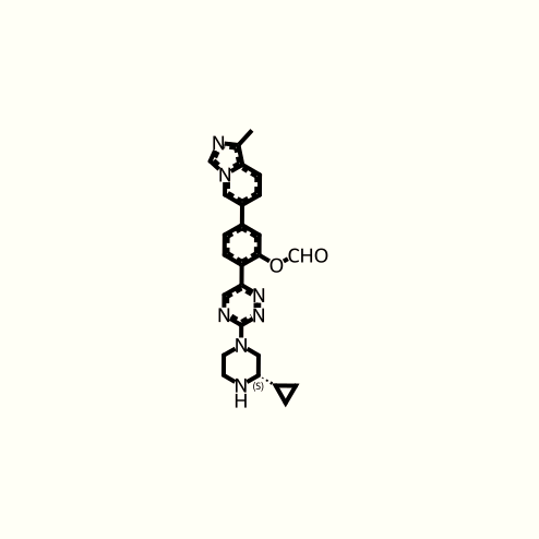 Cc1ncn2cc(-c3ccc(-c4cnc(N5CCN[C@@H](C6CC6)C5)nn4)c(OC=O)c3)ccc12